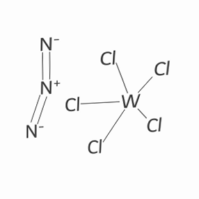 [Cl][W]([Cl])([Cl])([Cl])[Cl].[N-]=[N+]=[N-]